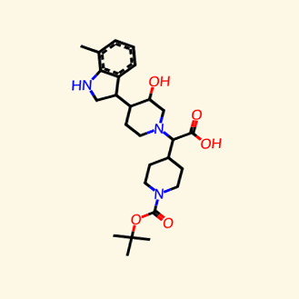 Cc1cccc2c1NCC2C1CCN(C(C(=O)O)C2CCN(C(=O)OC(C)(C)C)CC2)CC1O